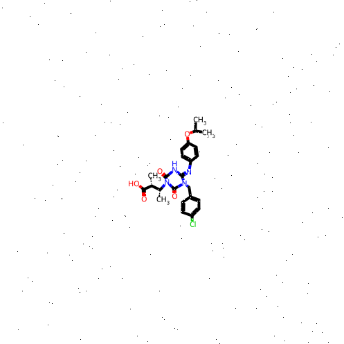 CC(C)Oc1ccc(/N=c2\[nH]c(=O)n([C@H](C)[C@@H](C)C(=O)O)c(=O)n2Cc2ccc(Cl)cc2)cc1